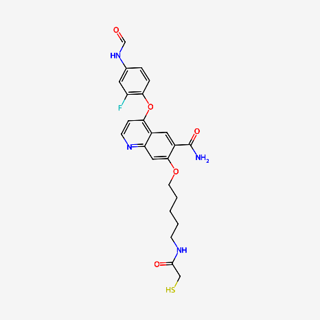 NC(=O)c1cc2c(Oc3ccc(NC=O)cc3F)ccnc2cc1OCCCCCNC(=O)CS